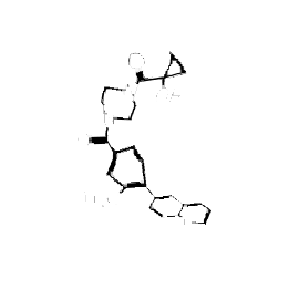 Cc1cc(C(=O)N2CCN(C(=O)C3(O)CC3)CC2)ccc1-c1ccc2ncccc2c1